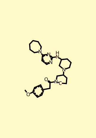 COc1ccc(CC(=O)N2CCCC(N3CCCC(Nc4nccc(N5CCCCCC5)n4)C3)C2)cc1